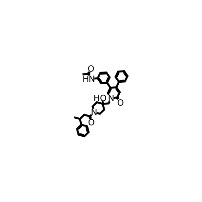 CC(=O)Nc1cccc(-c2cn(CC3(O)CCN(C(=O)CC(C)c4ccccc4)CC3)c(=O)cc2-c2ccccc2)c1